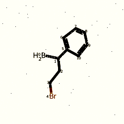 BC(CCBr)c1ccccc1